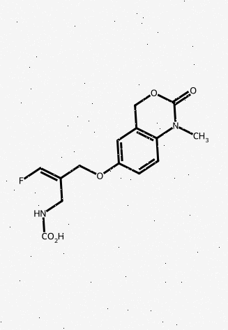 CN1C(=O)OCc2cc(OCC(=CF)CNC(=O)O)ccc21